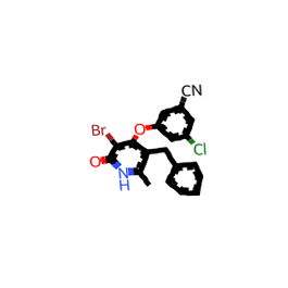 Cc1[nH]c(=O)c(Br)c(Oc2cc(Cl)cc(C#N)c2)c1Cc1ccccc1